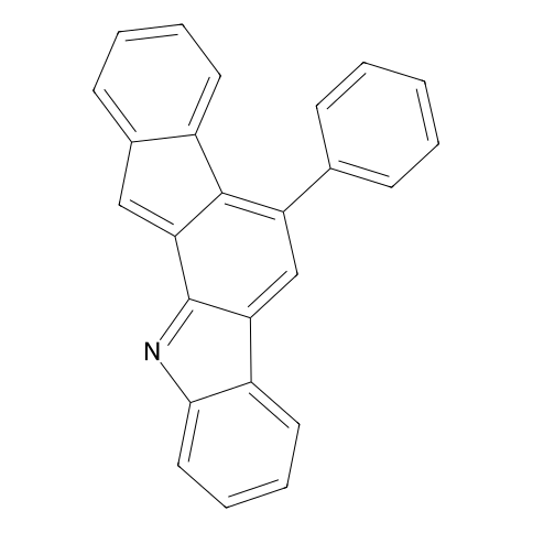 C1=c2c(c(-c3ccccc3)cc3c2=Nc2ccccc2-3)-c2ccccc21